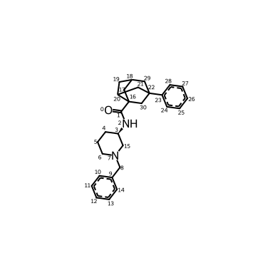 O=C(N[C@@H]1CCCN(Cc2ccccc2)C1)C12CC3CC1CC(c1ccccc1)(C3)C2